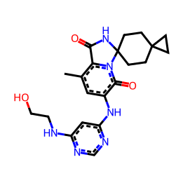 Cc1cc(Nc2cc(NCCO)ncn2)c(=O)n2c1C(=O)NC21CCC2(CC2)CC1